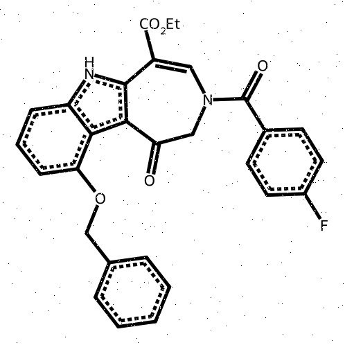 CCOC(=O)C1=CN(C(=O)c2ccc(F)cc2)CC(=O)c2c1[nH]c1cccc(OCc3ccccc3)c21